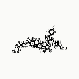 CC(=O)O[C@@H](c1nnc(-c2ccc(Cl)cc2)n1CCNC(=O)OC(C)(C)C)[C@@]12CC[C@]3(C)[C@H](CC[C@@H]4[C@@]5(C)CC[C@H](OC(=O)CC(C)(C)C(=O)OC(C)(C)C)C(C)(C)[C@@H]5CC[C@]43C)C1=C(C(C)C)C(=O)C2